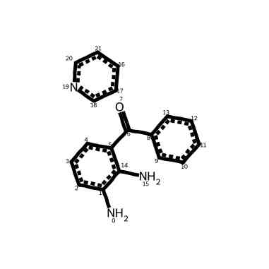 Nc1cccc(C(=O)c2ccccc2)c1N.c1ccncc1